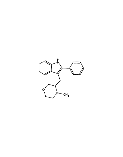 CN1CCOCC1Cc1c(-c2ccccc2)[nH]c2ccccc12